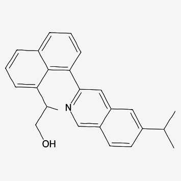 CC(C)c1ccc2cnc(-c3cccc4cccc(C(C)CO)c34)cc2c1